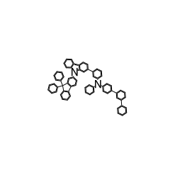 c1ccc(-c2cccc(-c3ccc(N(c4ccccc4)c4cccc(-c5ccc6c7ccccc7n(-c7ccc8c(c7)C(c7ccccc7)(c7ccccc7)c7ccccc7-8)c6c5)c4)cc3)c2)cc1